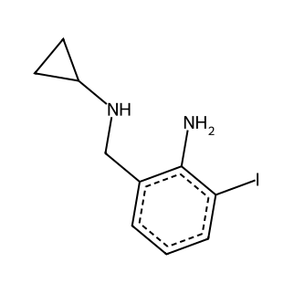 Nc1c(I)cccc1CNC1CC1